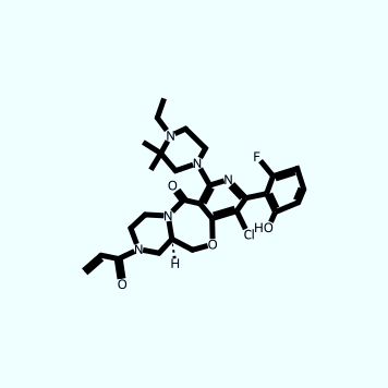 C=CC(=O)N1CCN2C(=O)c3c(N4CCN(CC)C(C)(C)C4)nc(-c4c(O)cccc4F)c(Cl)c3OC[C@H]2C1